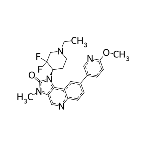 CCN1CC[C@@H](n2c(=O)n(C)c3cnc4ccc(-c5ccc(OC)nc5)cc4c32)C(F)(F)C1